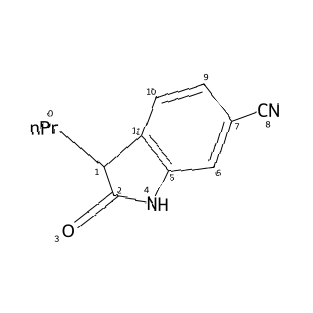 CCCC1C(=O)Nc2cc(C#N)ccc21